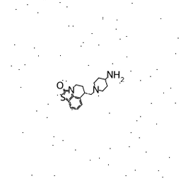 NC1CCN(CC2CCn3c(=O)sc4cccc2c43)CC1